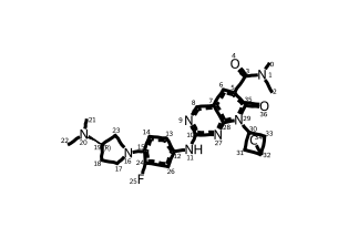 CN(C)C(=O)c1cc2cnc(Nc3ccc(N4CC[C@@H](N(C)C)C4)c(F)c3)nc2n(C23CC(C2)C3)c1=O